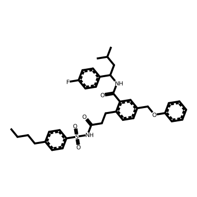 CCCCc1ccc(S(=O)(=O)NC(=O)CCc2ccc(COc3ccccc3)cc2C(=O)NC(CC(C)C)c2ccc(F)cc2)cc1